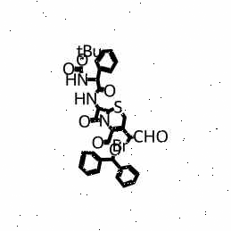 CC(C)(C)OC(=O)NC(C(=O)NC1C(=O)N2C(C(=O)OC(c3ccccc3)c3ccccc3)=C(C(Br)C=O)CSC12)c1ccccc1